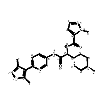 Cc1noc(C)c1-c1ncc(NC(=O)[C@@H](NC(=O)c2ccnn2C)[C@H]2CC[C@H](C)CC2)cn1